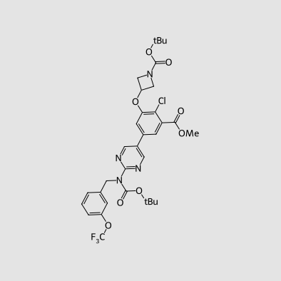 COC(=O)c1cc(-c2cnc(N(Cc3cccc(OC(F)(F)F)c3)C(=O)OC(C)(C)C)nc2)cc(OC2CN(C(=O)OC(C)(C)C)C2)c1Cl